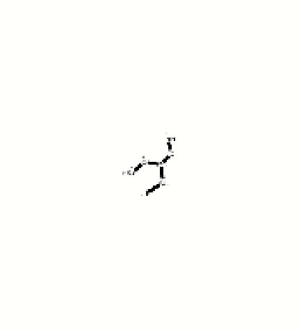 CCCCOP(OI)OCCCC